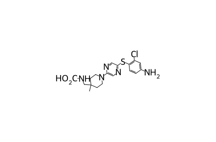 CC1(CNC(=O)O)CCN(c2cnc(Sc3ccc(N)cc3Cl)cn2)CC1